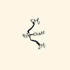 C=CC[Si](CC)(CC=C)OC